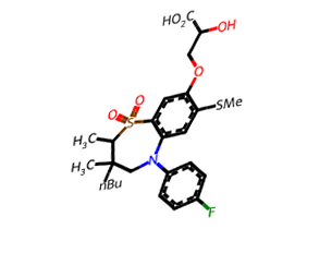 CCCCC1(C)CN(c2ccc(F)cc2)c2cc(SC)c(OCC(O)C(=O)O)cc2S(=O)(=O)C1C